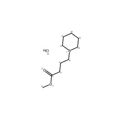 COC(=O)CCCN1CCCCC1.Cl